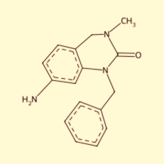 CN1Cc2ccc(N)cc2N(Cc2ccccc2)C1=O